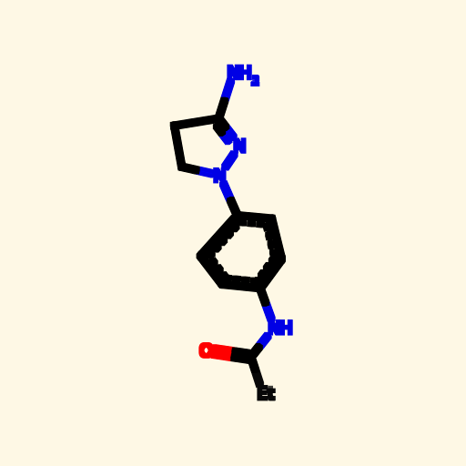 CCC(=O)Nc1ccc(N2CCC(N)=N2)cc1